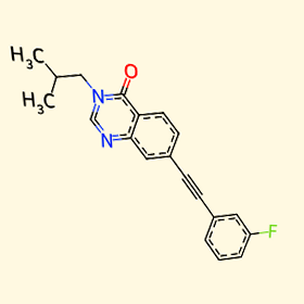 CC(C)Cn1cnc2cc(C#Cc3cccc(F)c3)ccc2c1=O